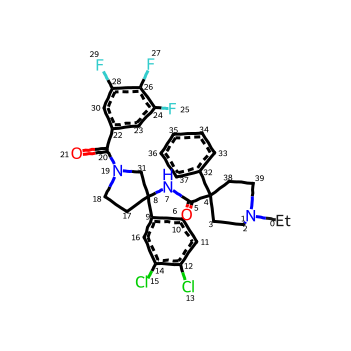 CCN1CCC(C(=O)NC2(c3ccc(Cl)c(Cl)c3)CCN(C(=O)c3cc(F)c(F)c(F)c3)C2)(c2ccccc2)CC1